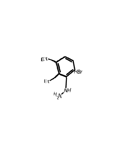 Br.CCc1cccc(NN)c1CC